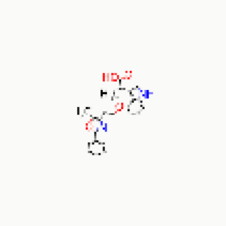 Cc1oc(-c2ccccc2)nc1CCOc1cccc2[nH]cc(C(C)C(=O)O)c12